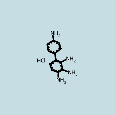 Cl.Nc1ccc(-c2ccc(N)c(N)c2N)cc1